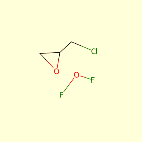 ClCC1CO1.FOF